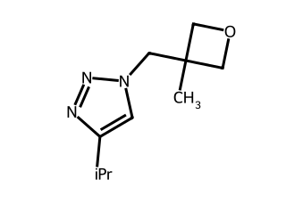 CC(C)c1cn(CC2(C)COC2)nn1